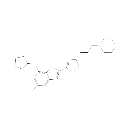 Clc1cc(NC2CCCC2)c2[nH]c(C3=N[C@H](CCCN4CCOCC4)CS3)cc2c1